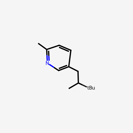 Cc1ccc(CC(C)C(C)(C)C)cn1